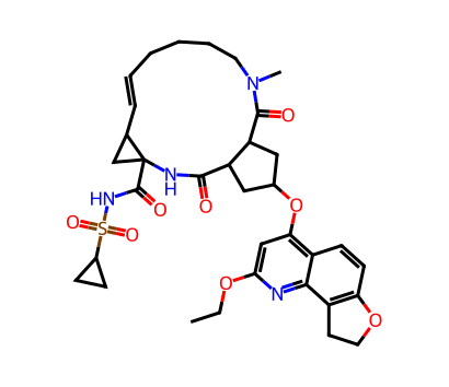 CCOc1cc(OC2CC3C(=O)NC4(C(=O)NS(=O)(=O)C5CC5)CC4/C=C/CCCCN(C)C(=O)C3C2)c2ccc3c(c2n1)CCO3